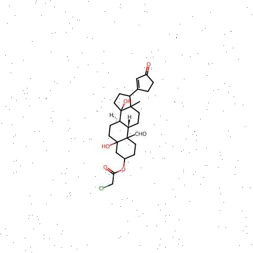 CC12CC[C@H]3[C@@H](CCC4(O)CC(OC(=O)CCl)CCC34C=O)C1(O)CCC2C1=CC(=O)CC1